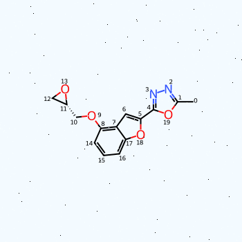 Cc1nnc(-c2cc3c(OC[C@@H]4CO4)cccc3o2)o1